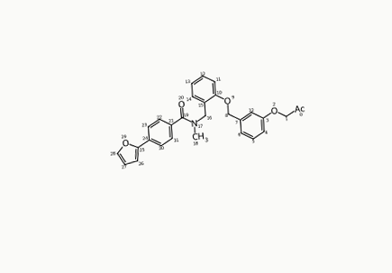 CC(=O)COc1cccc(COc2ccccc2CN(C)C(=O)c2ccc(-c3ccco3)cc2)c1